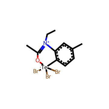 CC[N+]1=C(C)O[Te](Br)(Br)(Br)c2ccc(C)cc21